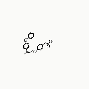 COC(=O)Cc1ccc(OCC=C(C)c2ccc(Oc3ccccc3)cc2)cc1